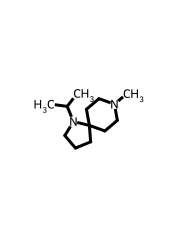 CC(C)N1CCCC12CCN(C)CC2